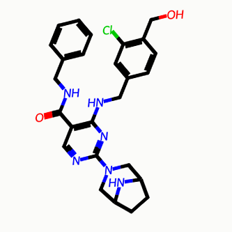 O=C(NCc1ccccc1)c1cnc(N2CC3CCC(C2)N3)nc1NCc1ccc(CO)c(Cl)c1